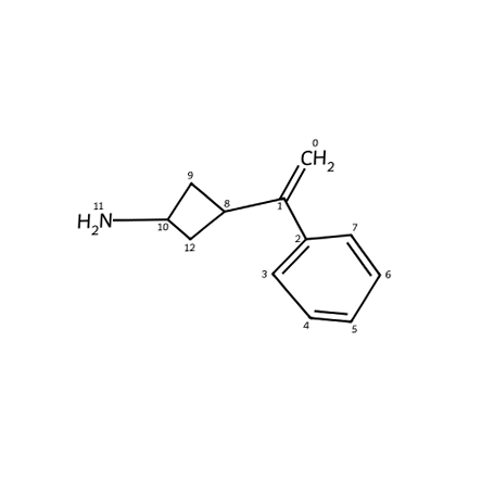 C=C(c1ccccc1)C1CC(N)C1